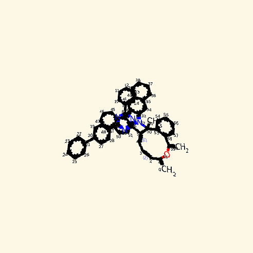 C=C1/C=C\C=C(\c2nc(-c3ccccc3)nc(-c3ccc(-c4ccccc4)cc3)n2)C(C)(n2c3cc4ccccc4cc3c3c4ccccc4ccc32)c2ccccc2C(=C)O1